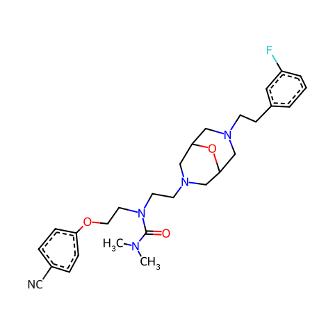 CN(C)C(=O)N(CCOc1ccc(C#N)cc1)CCN1CC2CN(CCc3cccc(F)c3)CC(C1)O2